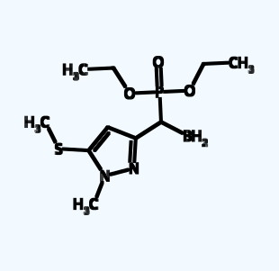 BC(c1cc(SC)n(C)n1)P(=O)(OCC)OCC